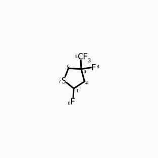 FC1CC(F)(C(F)(F)F)CS1